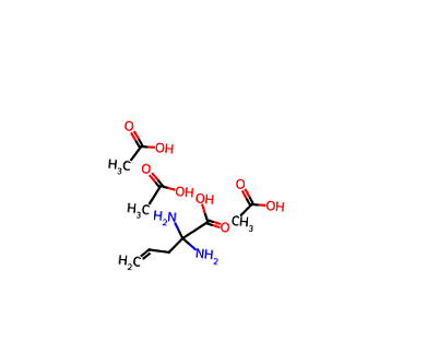 C=CCC(N)(N)C(=O)O.CC(=O)O.CC(=O)O.CC(=O)O